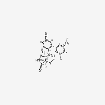 COc1ccc([C@@H]2CC[C@@]3(C)C(=O)NC[C@H]3[C@H]2c2ccc(Cl)cc2)c(C)c1